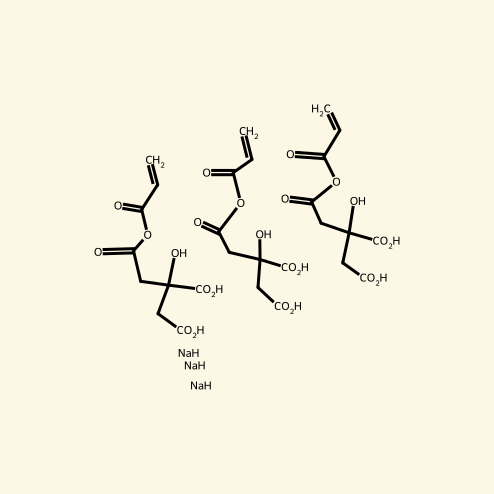 C=CC(=O)OC(=O)CC(O)(CC(=O)O)C(=O)O.C=CC(=O)OC(=O)CC(O)(CC(=O)O)C(=O)O.C=CC(=O)OC(=O)CC(O)(CC(=O)O)C(=O)O.[NaH].[NaH].[NaH]